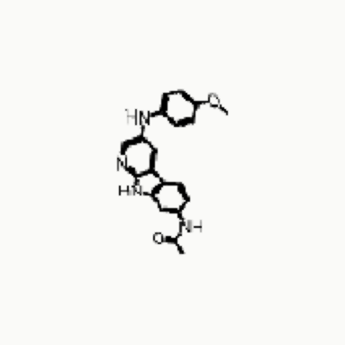 COc1ccc(Nc2cnc3[nH]c4cc(NC(C)=O)ccc4c3c2)cc1